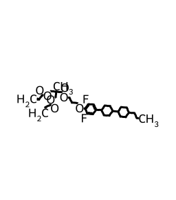 C=CC(=O)OCC(C)(COC(=O)C=C)C(=O)OCCCOc1c(F)cc(C2CCC(C3CCC(CCC)CC3)CC2)cc1F